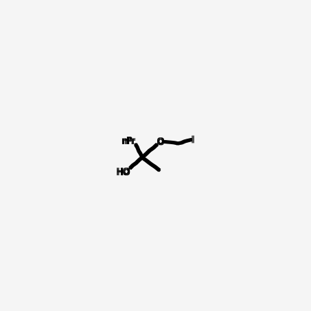 CCCC(C)(O)OCI